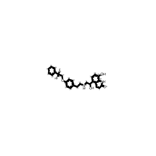 O=c1ccc2c(C(O)CNCCc3ccc(OCC(F)(F)c4ccccc4)cc3)ccc(O)c2[nH]1